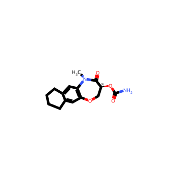 CN1C(=O)[C@@H](OC(N)=O)COc2cc3c(cc21)CCCC3